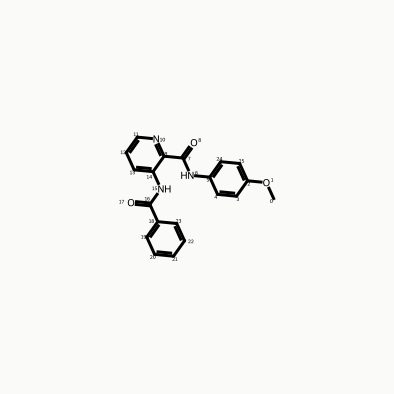 COc1ccc(NC(=O)c2ncccc2NC(=O)c2ccccc2)cc1